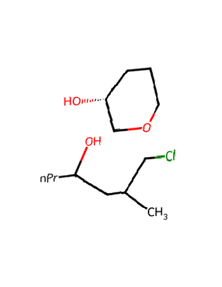 CCCC(O)CC(C)CCl.O[C@@H]1CCCOC1